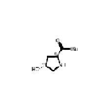 CC(C)(C)C(=O)[C@@H]1C[C@@H](O)CN1